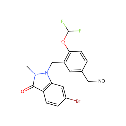 Cn1c(=O)c2ccc(Br)cc2n1Cc1cc(CN=O)ccc1OC(F)F